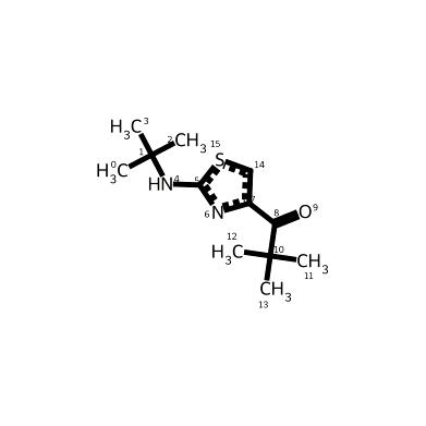 CC(C)(C)Nc1nc(C(=O)C(C)(C)C)cs1